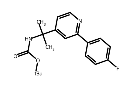 CC(C)(C)OC(=O)NC(C)(C)c1ccnc(-c2ccc(F)cc2)c1